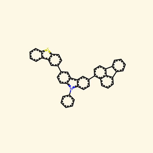 c1ccc(-n2c3ccc(-c4ccc5sc6ccccc6c5c4)cc3c3cc(-c4ccc5c6c(cccc46)-c4ccccc4-5)ccc32)cc1